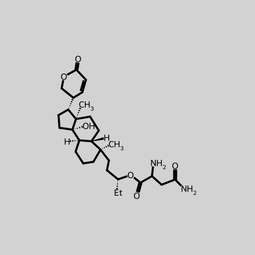 CC[C@H](CC[C@@]1(C)CCC[C@@H]2[C@@H]1CC[C@]1(C)[C@@H](C3C=CC(=O)OC3)CC[C@]21O)OC(=O)C(N)CC(N)=O